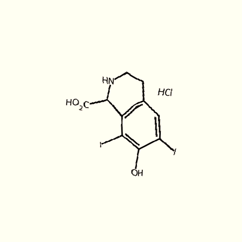 Cl.O=C(O)C1NCCc2cc(I)c(O)c(I)c21